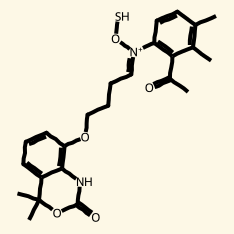 CC(=O)c1c([N+](=CCCCOc2cccc3c2NC(=O)OC3(C)C)OS)ccc(C)c1C